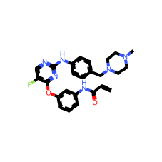 C=CC(=O)Nc1cccc(Oc2nc(Nc3ccc(CN4CCN(C)CC4)cc3)ncc2F)c1